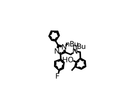 CCCCN(Cc1cccc(C)c1O)Cc1c(-c2ccc(F)cc2)nc(-c2ccccc2)n1CCCC